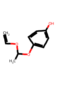 C=COC(C)Oc1ccc(O)cc1